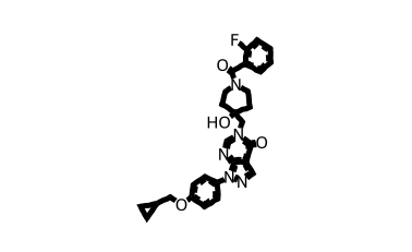 O=C(c1ccccc1F)N1CCC(O)(Cn2cnc3c(cnn3-c3ccc(OCC4CC4)cc3)c2=O)CC1